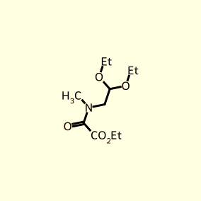 CCOC(=O)C(=O)N(C)CC(OCC)OCC